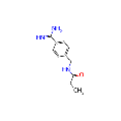 C[CH]C(=O)NCc1ccc(C(=N)N)cc1